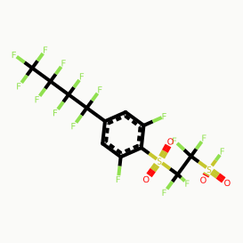 O=S(=O)(F)C(F)(F)C(F)(F)S(=O)(=O)c1c(F)cc(C(F)(F)C(F)(F)C(F)(F)C(F)(F)F)cc1F